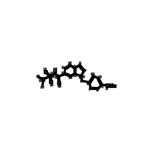 COc1ccc(Cn2ccc3ccc(C(=O)NS(=O)(=O)N(C)C)cc32)cc1